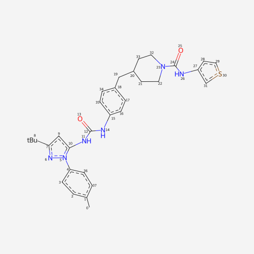 Cc1ccc(-n2nc(C(C)(C)C)cc2NC(=O)Nc2ccc(CC3CCN(C(=O)Nc4ccsc4)CC3)cc2)cc1